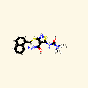 CN(C)C(=O)Nc1snc(SCc2cccc3ccccc23)c1C(N)=O